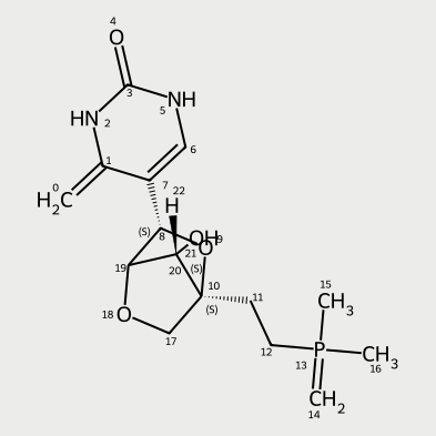 C=C1NC(=O)NC=C1[C@@H]1O[C@@]2(CCP(=C)(C)C)COC1[C@@H]2O